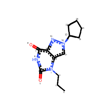 CCCn1c(=O)[nH]c(=O)c2nn(C3CCCC3)cc21